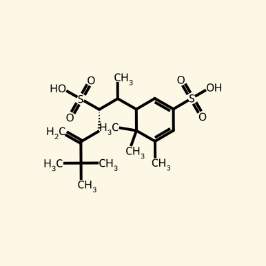 C=C(C[C@@H](C(C)C1C=C(S(=O)(=O)O)C=C(C)C1(C)C)S(=O)(=O)O)C(C)(C)C